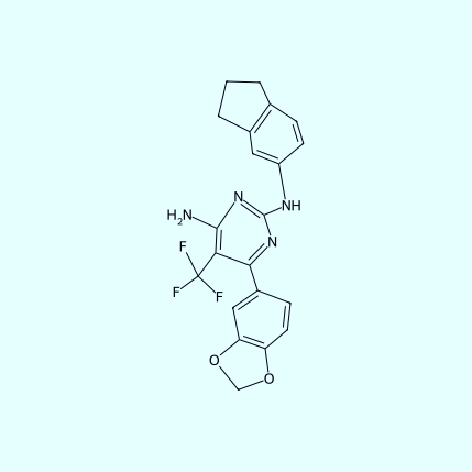 Nc1nc(Nc2ccc3c(c2)CCC3)nc(-c2ccc3c(c2)OCO3)c1C(F)(F)F